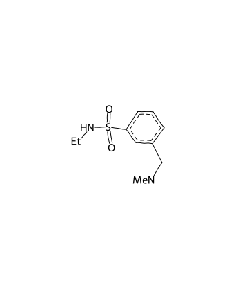 CCNS(=O)(=O)c1cccc(CNC)c1